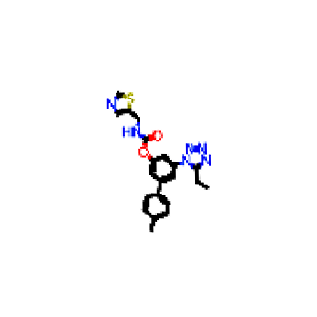 CCc1nnnn1-c1cc(OC(=O)NCc2cncs2)cc(-c2ccc(C)cc2)c1